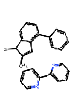 CC1=Cc2c(-c3ccccc3)cccc2[CH]1[Zr].c1ccc(-c2ccccn2)nc1